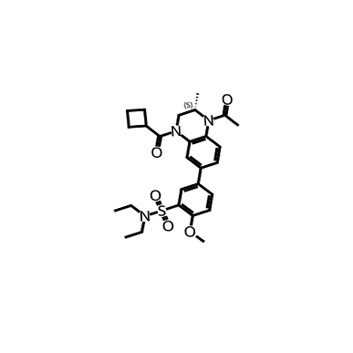 CCN(CC)S(=O)(=O)c1cc(-c2ccc3c(c2)N(C(=O)C2CCC2)C[C@H](C)N3C(C)=O)ccc1OC